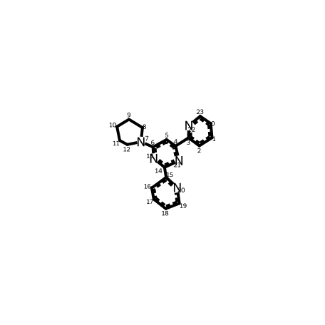 c1ccc(-c2cc(N3CCCCC3)nc(-c3ccccn3)n2)nc1